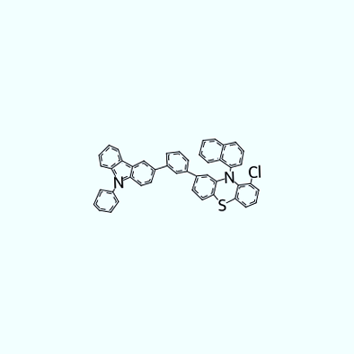 Clc1cccc2c1N(c1cccc3ccccc13)c1cc(-c3cccc(-c4ccc5c(c4)c4ccccc4n5-c4ccccc4)c3)ccc1S2